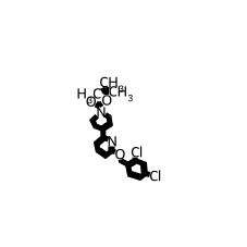 CC(C)(C)OC(=O)N1CC=C(c2cccc(OCc3ccc(Cl)cc3Cl)n2)CC1